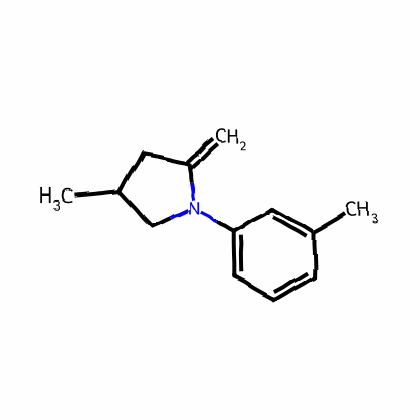 C=C1CC(C)CN1c1cccc(C)c1